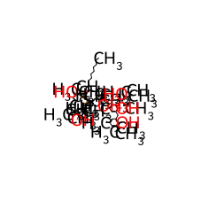 CCCCCCCCCCCCSC(C)(CC(c1cc(C(C)(C)C)c(O)cc1C)c1cc(C(C)(C)C)c(O)cc1C)c1cc(C(C)(C)C)c(O)cc1C.Cc1cc(Cc2cc(C)cc(C(C)(C)C)c2O)c(O)c(Cc2cc(C)cc(C(C)(C)C)c2O)c1